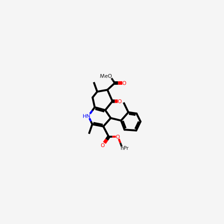 CCCOC(=O)C1=C(C)NC2=C(C(=O)C(C(=O)OC)C(C)C2)C1c1ccccc1C